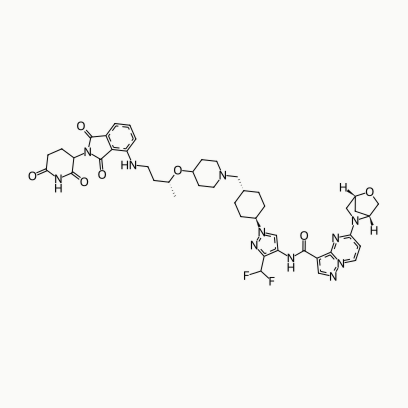 C[C@H](CCNc1cccc2c1C(=O)N(C1CCC(=O)NC1=O)C2=O)OC1CCN(C[C@H]2CC[C@H](n3cc(NC(=O)c4cnn5ccc(N6C[C@H]7C[C@@H]6CO7)nc45)c(C(F)F)n3)CC2)CC1